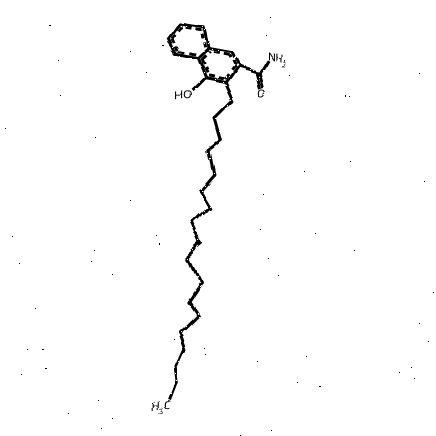 CCCCCCCCCCCCCCCCCCc1c(C(N)=O)cc2ccccc2c1O